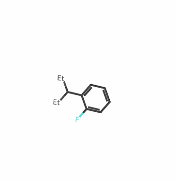 CCC(CC)c1ccccc1F